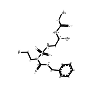 CC(C)(C)OC(=O)N[C@@H](CNS(=O)(=O)N(CCBr)C(=O)OCc1ccccc1)C(C)(C)C